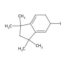 CC1(C)CC(C)(C)C2=CC(I)CC=C21